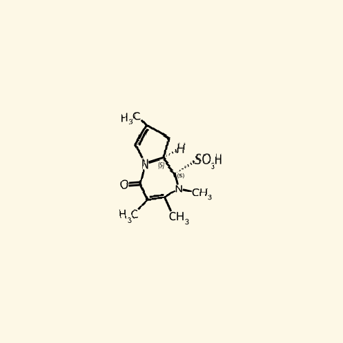 CC1=CN2C(=O)C(C)=C(C)N(C)[C@@H](S(=O)(=O)O)[C@@H]2C1